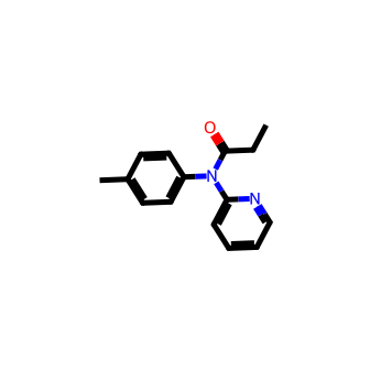 CCC(=O)N(c1ccc(C)cc1)c1ccccn1